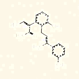 C/C=C(\C(C)=O)c1cccc(C)c1C/C=C(\C)c1cccc(C)c1